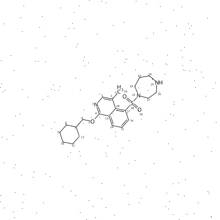 Cc1cnc(OCC2CCCCC2)c2cccc(S(=O)(=O)N3CCCNCC3)c12